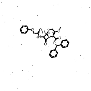 COC1=C(C(=O)OC(c2ccccc2)c2ccccc2)N2C(=O)C(NC(=O)COc3ccccc3)[C@@H]2SC1